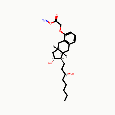 CCCCC[C@H](O)CC[C@@H]1[C@H]2Cc3cccc(OCC(=O)ON)c3C[C@H]2C[C@H]1O